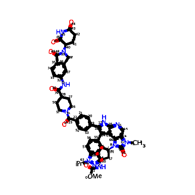 COC(=O)N[C@@H]1CC[C@@H](n2c(=O)n(C)c3cnc4[nH]c(-c5ccc(C(=O)N6CCC(C(=O)Nc7ccc8c(c7)CN(C7CCC(=O)NC7=O)C8=O)CC6)cc5)c(-c5ccc6c(cnn6C(C)C)c5)c4c32)C1